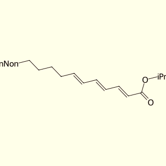 CCCCCCCCCCCCCC=CC=CC=CC(=O)OC(C)C